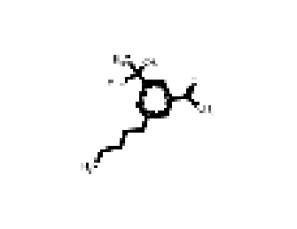 CC(=O)c1cc(CCCCN)cc(C(C)(C)C)c1